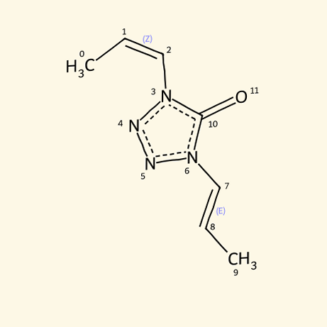 C/C=C\n1nnn(/C=C/C)c1=O